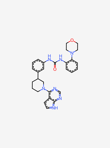 O=C(Nc1cccc(C2CCCN(c3ncnc4[nH]ccc34)C2)c1)Nc1ccccc1N1CCOCC1